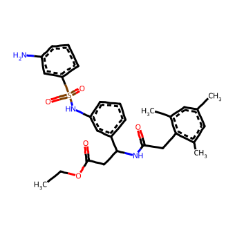 CCOC(=O)CC(NC(=O)Cc1c(C)cc(C)cc1C)c1cccc(NS(=O)(=O)c2cccc(N)c2)c1